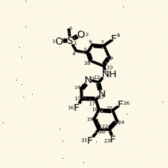 CS(=O)(=O)Cc1cc(F)cc(Nc2ncc(F)c(-c3cc(F)c(F)cc3F)n2)c1